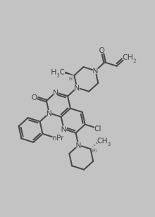 C=CC(=O)N1CCN(c2nc(=O)n(-c3ccccc3CCC)c3nc(N4CCCC[C@H]4C)c(Cl)cc23)[C@@H](C)C1